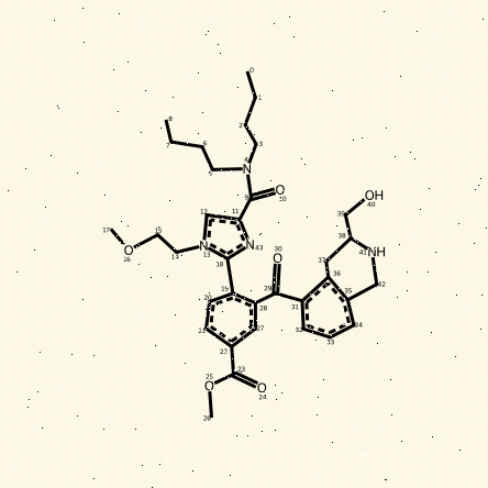 CCCCN(CCCC)C(=O)c1cn(CCOC)c(-c2ccc(C(=O)OC)cc2C(=O)c2cccc3c2CC(CO)NC3)n1